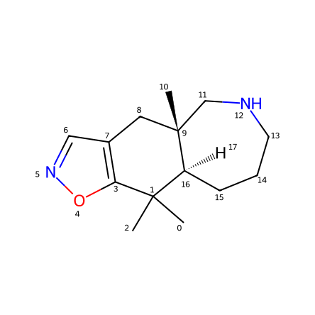 CC1(C)c2oncc2C[C@]2(C)CNCCC[C@@H]12